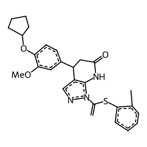 C=C(Sc1ccccc1C)n1ncc2c1NC(=O)CC2c1ccc(OC2CCCC2)c(OC)c1